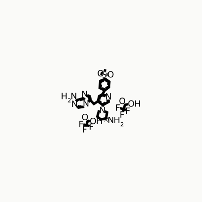 CS(=O)(=O)c1ccc(-c2cc(Cc3cnc4c(N)nccn34)c(N3CCC[C@@H](N)C3)cn2)cc1.O=C(O)C(F)(F)F.O=C(O)C(F)(F)F